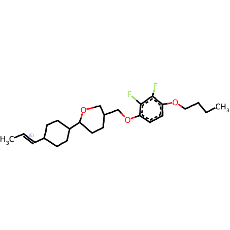 C/C=C/C1CCC(C2CCC(COc3ccc(OCCCC)c(F)c3F)CO2)CC1